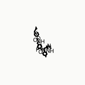 Cc1ccc2c(c1)Nc1c(cnn1C)CN2C(=O)c1ccc(CNC(=O)OC2CCN(CC3CC3)CC2)cc1F